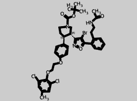 CC(=O)NCCc1ccccc1-c1onc([C@H]2CN(C(=O)OC(C)(C)C)CC[C@@H]2c2ccc(OCCOc3c(Cl)cc(C)cc3Cl)cc2)c1Br